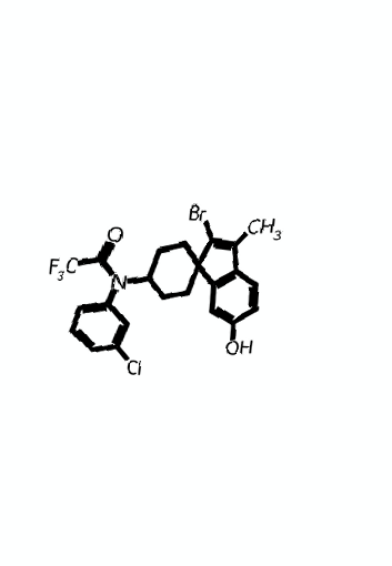 CC1=C(Br)C2(CCC(N(C(=O)C(F)(F)F)c3cccc(Cl)c3)CC2)c2cc(O)ccc21